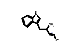 CC(C)/C=C/C(N)Cc1c[nH]c2ccccc12